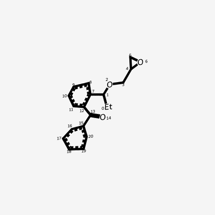 CCC(OCC1CO1)c1ccccc1C(=O)c1ccccc1